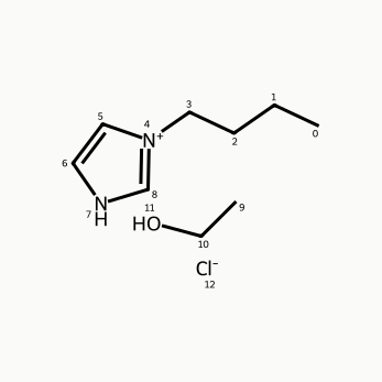 CCCC[n+]1cc[nH]c1.CCO.[Cl-]